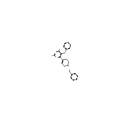 COc1nc(OC)c(Cc2ccccc2)c(C2=CCC(OCc3ccccc3)CC2)n1